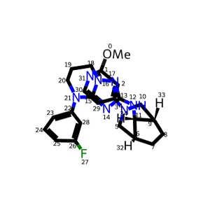 COc1cc(N2C[C@H]3CC[C@@H](C2)[C@H]3Nc2nc3n(n2)CCCN3c2cccc(F)c2)ccn1